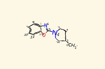 [CH2][C@@H]1CCN(c2nc3ccccc3o2)C1